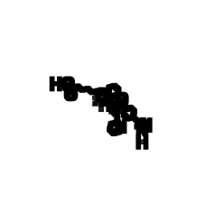 [2H]C(c1ccccc1OCCCCCC(=O)O)N(CCc1ccccn1)C(=O)c1ccc(-c2cn[nH]c2)cc1